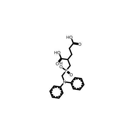 O=C(O)CCC(CP(=O)(O)CN(c1ccccc1)c1ccccc1)C(=O)O